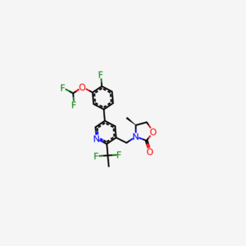 C[C@H]1COC(=O)N1Cc1cc(-c2ccc(F)c(OC(F)F)c2)cnc1C(C)(F)F